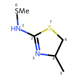 CSNC1=NC(C)CS1